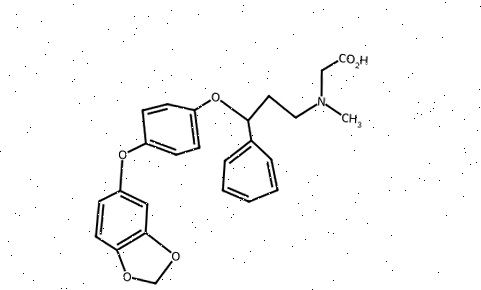 CN(CCC(Oc1ccc(Oc2ccc3c(c2)OCO3)cc1)c1ccccc1)CC(=O)O